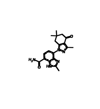 Cc1nc2c(-n3nc(C)c4c3CC(C)(C)CC4=O)ccc(C(N)=O)c2[nH]1